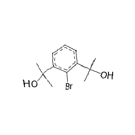 CC(C)(O)c1cccc(C(C)(C)O)c1Br